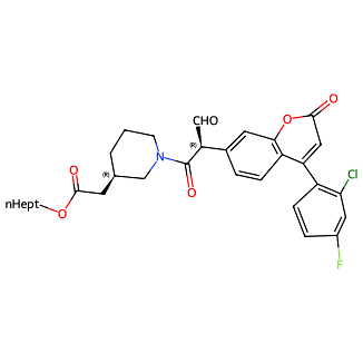 CCCCCCCOC(=O)C[C@H]1CCCN(C(=O)[C@@H](C=O)c2ccc3c(-c4ccc(F)cc4Cl)cc(=O)oc3c2)C1